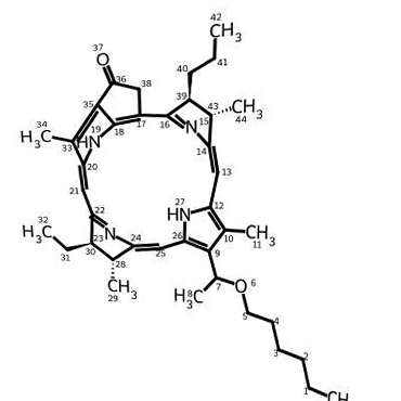 CCCCCCOC(C)c1c(C)c2cc3nc(c4c5[nH]c(cc6nc(cc1[nH]2)[C@H](C)[C@H]6CC)c(C)c5C(=O)C4)[C@@H](CCC)[C@@H]3C